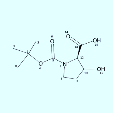 CC(C)(C)OC(=O)N1CCC(O)[C@@H]1C(=O)O